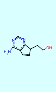 Nc1ncnc2c1C=CC2CCO